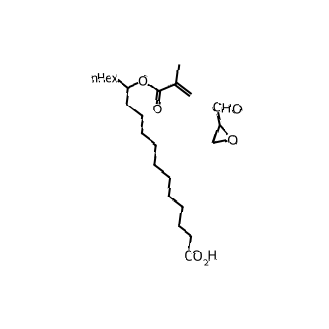 C=C(C)C(=O)OC(CCCCCC)CCCCCCCCCCC(=O)O.O=CC1CO1